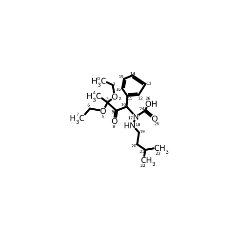 CCOC(C)(OCC)C(=O)C(c1ccccc1)N(NCCC(C)C)C(=O)O